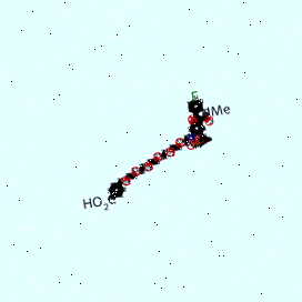 CNC(=O)c1c(-c2ccc(F)cc2)oc2cc(N(CCOCCOCCOCCOCCOCCOCc3ccc(C(=O)O)cc3)S(C)(=O)=O)c(C3CC3)cc12